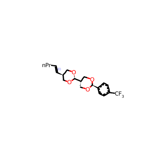 CCC/C=C/[C@H]1CO[C@H]([C@H]2CO[C@H](c3ccc(C(F)(F)F)cc3)OC2)OC1